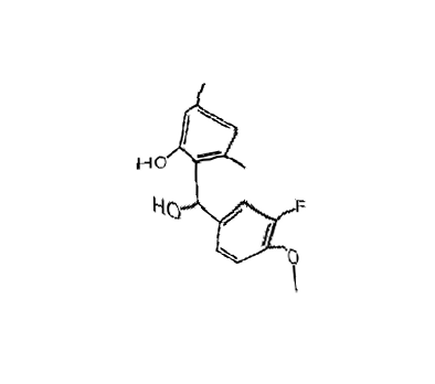 COc1ccc(C(O)c2c(C)cc(C)cc2O)cc1F